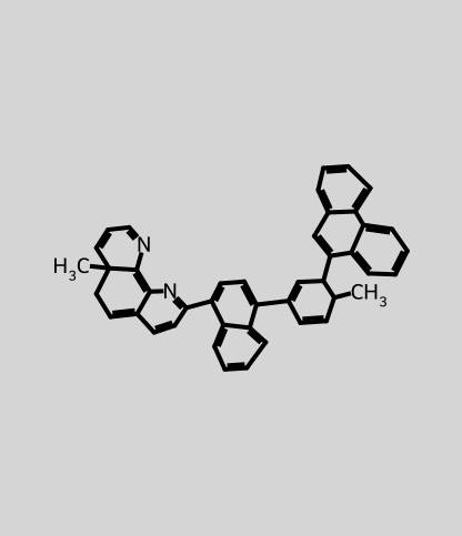 CC1C=CC(c2ccc(-c3ccc4c(n3)=C3N=CC=CC3(C)CC=4)c3ccccc23)=CC1c1cc2ccccc2c2ccccc12